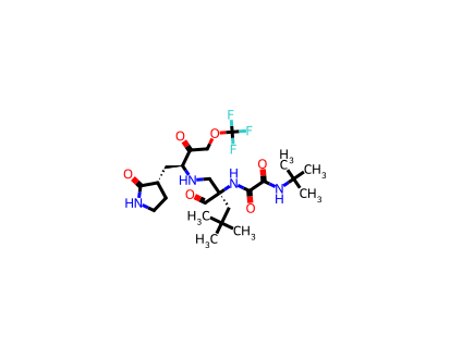 CC(C)(C)C[C@](C=O)(CN[C@@H](C[C@@H]1CCNC1=O)C(=O)COC(F)(F)F)NC(=O)C(=O)NC(C)(C)C